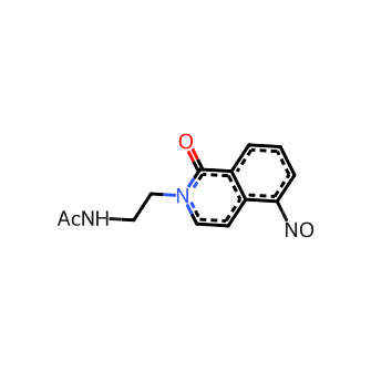 CC(=O)NCCn1ccc2c(N=O)cccc2c1=O